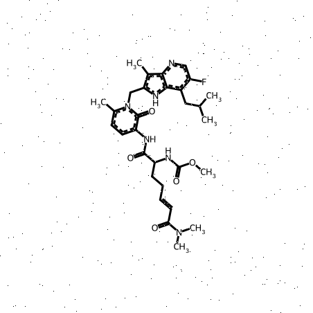 COC(=O)NC(CCC=CC(=O)N(C)C)C(=O)Nc1ccc(C)n(Cc2[nH]c3c(CC(C)C)c(F)cnc3c2C)c1=O